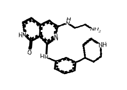 NCCNc1cc2cc[nH]c(=O)c2c(Nc2cccc(C3CCNCC3)c2)n1